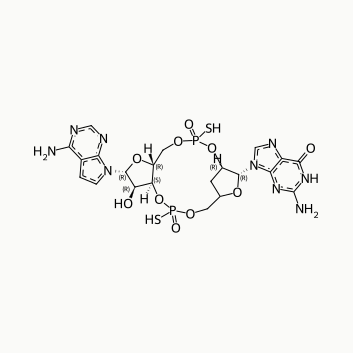 Nc1nc2c(ncn2[C@@H]2OC3COP(=O)(S)O[C@H]4[C@@H](O)[C@H](n5ccc6c(N)ncnc65)O[C@@H]4COP(=O)(S)O[C@@H]2C3)c(=O)[nH]1